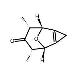 C[C@@H]1C(=O)[C@H](C)[C@H]2O[C@@H]1C1=C2C1